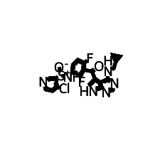 O=C(c1c(F)ccc(N[S+]([O-])c2cnccc2Cl)c1F)c1c[nH]c2ncnc(NCC3CC3)c12